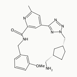 COc1cccc(CNC(=O)c2cc(-c3nnn(C[C@@H]4CC[C@H](CN)C4)n3)cc(C)n2)c1